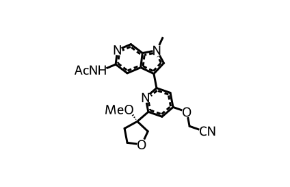 CO[C@@]1(c2cc(OCC#N)cc(-c3cn(C)c4cnc(NC(C)=O)cc34)n2)CCOC1